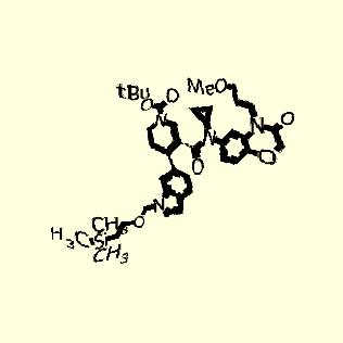 COCCCN1C(=O)COc2ccc(N(C(=O)[C@H]3CN(C(=O)OC(C)(C)C)CC[C@@H]3c3ccc4ccn(COCC[Si](C)(C)C)c4c3)C3CC3)cc21